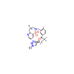 CCn1cc(CO[C@H](c2ccc(C)c(CN3C[C@H](C)Cc4ncccc4S3(=O)=O)c2)C(C)(C)C(=O)O)nn1